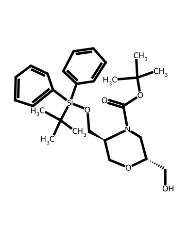 CC(C)(C)OC(=O)N1C[C@H](CO)OC[C@H]1CO[Si](c1ccccc1)(c1ccccc1)C(C)(C)C